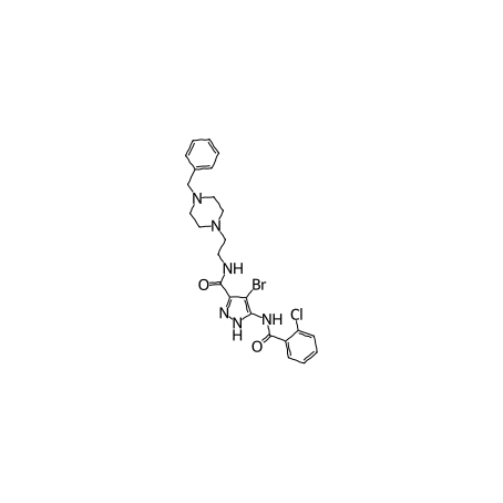 O=C(Nc1[nH]nc(C(=O)NCCN2CCN(Cc3ccccc3)CC2)c1Br)c1ccccc1Cl